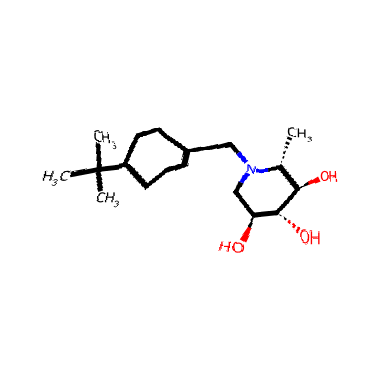 C[C@@H]1[C@@H](O)[C@H](O)[C@@H](O)CN1CC1CCC(C(C)(C)C)CC1